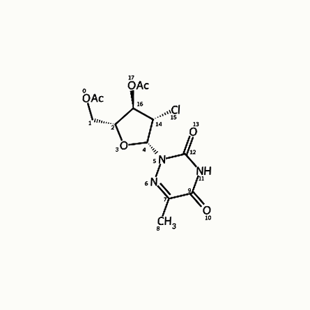 CC(=O)OC[C@H]1O[C@@H](n2nc(C)c(=O)[nH]c2=O)[C@@H](Cl)[C@@H]1OC(C)=O